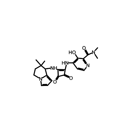 CN(C)C(=O)c1nccc(Nc2c(NC3c4cccn4CCC3(C)C)c(=O)c2=O)c1O